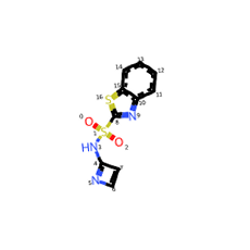 O=S(=O)(NC1=NC=C1)c1nc2ccccc2s1